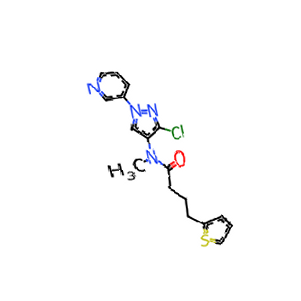 CN(C(=O)CCCc1cccs1)c1cn(-c2cccnc2)nc1Cl